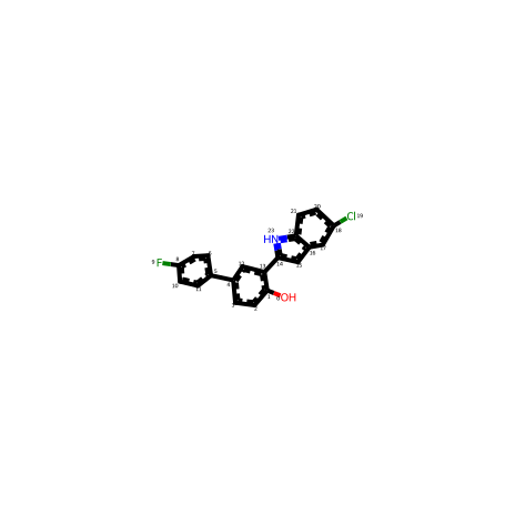 Oc1ccc(-c2ccc(F)cc2)cc1-c1cc2cc(Cl)ccc2[nH]1